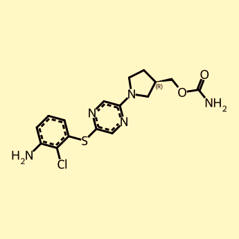 NC(=O)OC[C@@H]1CCN(c2cnc(Sc3cccc(N)c3Cl)cn2)C1